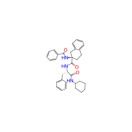 O=C(N[C@]1(C(=O)N[C@@H](Cc2ccccc2)C(=O)NC2CCCCC2)CCc2ccccc2C1)c1ccccc1